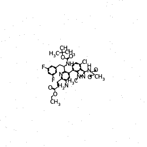 CCOC(=O)C=Cc1nc(C(Cc2cc(F)cc(F)c2)NC(=O)OC(C)(C)C)c(-c2ccc(Cl)c3c(NS(C)(=O)=O)nn(C)c23)cc1N